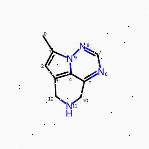 Cc1cc2c3c(ncnn13)CNC2